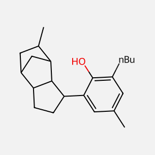 CCCCc1cc(C)cc(C2CCC3C4CC(C)C(C4)C23)c1O